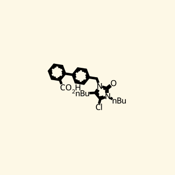 CCCCc1c(Cl)n(CCCC)c(=O)n1Cc1ccc(-c2ccccc2C(=O)O)cc1